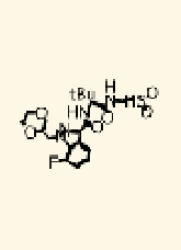 CC(C)(C)C(NC(=O)c1nn(C[C@@H]2COCCO2)c2c(F)cccc12)C(=O)NCC[SH](=O)=O